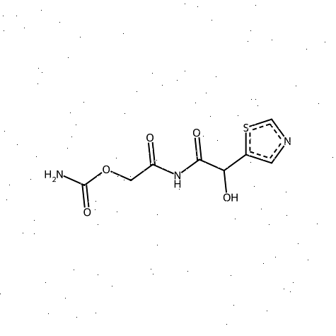 NC(=O)OCC(=O)NC(=O)C(O)c1cncs1